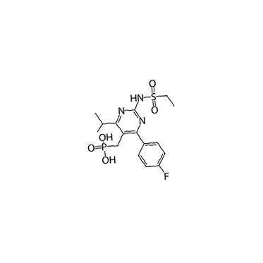 CCS(=O)(=O)Nc1nc(-c2ccc(F)cc2)c(CP(=O)(O)O)c(C(C)C)n1